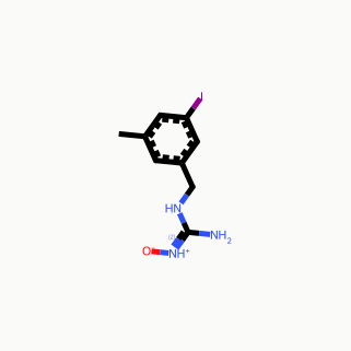 Cc1cc(I)cc(CN/C(N)=[NH+]\[O-])c1